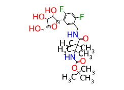 CC(C)(C)OC(=O)NC(C)(C)C(C)(C)C(=O)NCc1cc([C@@H]2O[C@H](CO)C(O)C2O)c(F)cc1F